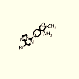 C[C@@H]1OCC2(CCN(c3ncc(Br)c4nccn34)CC2)[C@@H]1N